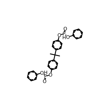 CC(C)(c1ccc(O[PH](=O)Oc2ccccc2)cc1)c1ccc(O[PH](=O)Oc2ccccc2)cc1